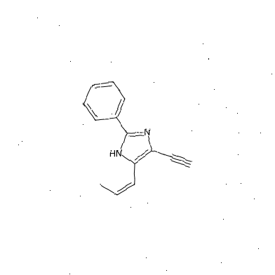 C#Cc1nc(-c2ccccc2)[nH]c1/C=C\C